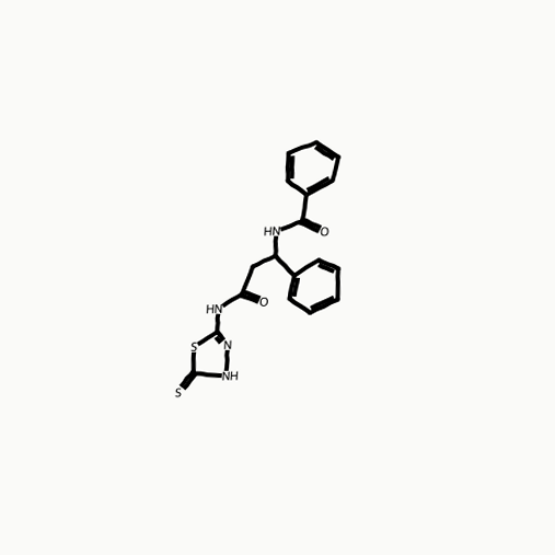 O=C(CC(NC(=O)c1ccccc1)c1ccccc1)Nc1n[nH]c(=S)s1